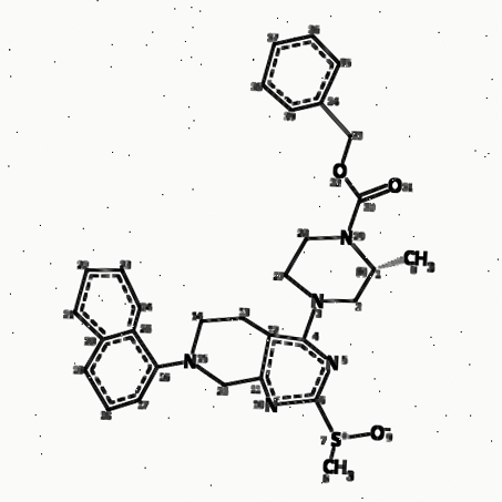 C[C@@H]1CN(c2nc([S+](C)[O-])nc3c2CCN(c2cccc4ccccc24)C3)CCN1C(=O)OCc1ccccc1